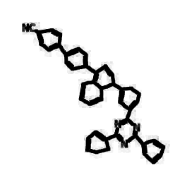 N#Cc1ccc(-c2ccc(C3=C4C=CC=CC4C(C4=CC(c5nc(C6=CC=CCC6)nc(-c6ccccc6)n5)=CCC4)C=C3)cc2)cc1